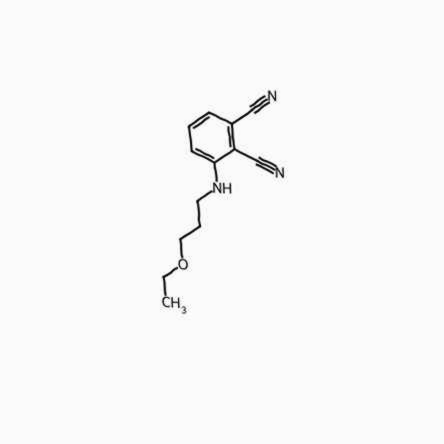 CCOCCCNc1cccc(C#N)c1C#N